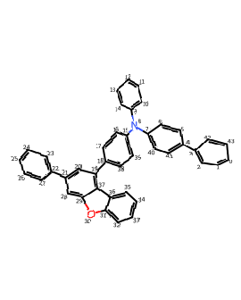 c1ccc(-c2ccc(N(c3ccccc3)c3ccc(-c4cc(-c5ccccc5)cc5oc6ccccc6c45)cc3)cc2)cc1